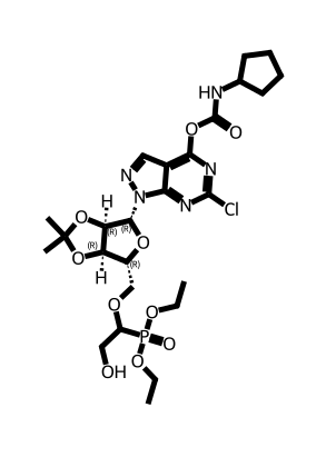 CCOP(=O)(OCC)C(CO)OC[C@H]1O[C@@H](n2ncc3c(OC(=O)NC4CCCC4)nc(Cl)nc32)[C@@H]2OC(C)(C)O[C@@H]21